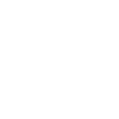 CCC(F)(CC)CN1CCC(COc2ccc(-c3ccc(C(=O)N4CC(O)CC4C(N)=O)cc3)nc2)CC1